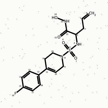 C=CCC(NS(=O)(=O)N1CC=C(c2ccc(F)cc2)CC1)C(=O)NO